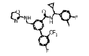 Cc1cc(C(NC(=O)c2cc(CNC3=NCCO3)cc(-c3ccc(F)cc3C(F)(F)F)c2)C2CC2)ccc1F